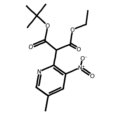 CCOC(=O)C(C(=O)OC(C)(C)C)c1ncc(C)cc1[N+](=O)[O-]